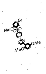 COc1ccc(OC)c(-c2csc(N3CCN(S(=O)(=O)c4cc(Br)ccc4OC)CC3)n2)c1